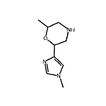 CC1CNCC(c2cn(C)cn2)O1